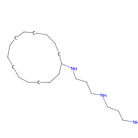 NCCCNCCCNC1CCCCCCCCCCCCCC1